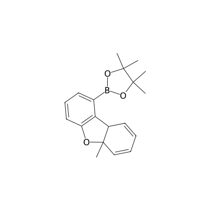 CC12C=CC=CC1c1c(cccc1B1OC(C)(C)C(C)(C)O1)O2